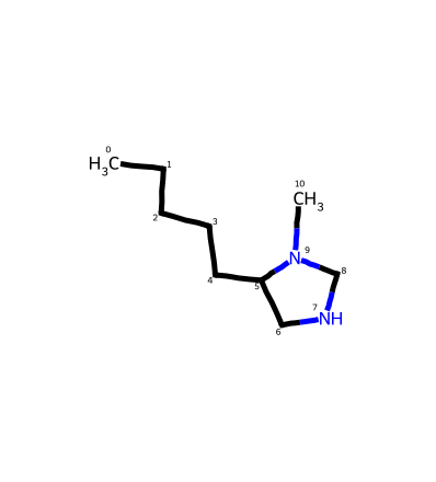 CCCCCC1CNCN1C